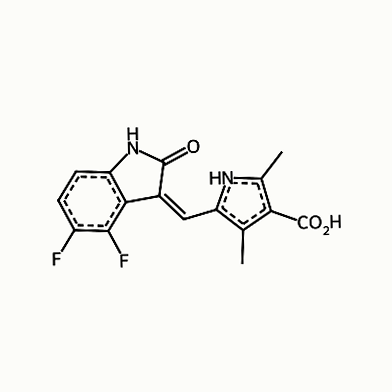 Cc1[nH]c(/C=C2\C(=O)Nc3ccc(F)c(F)c32)c(C)c1C(=O)O